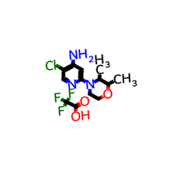 CC1OCCN(c2cc(N)c(Cl)cn2)C1C.O=C(O)C(F)(F)F